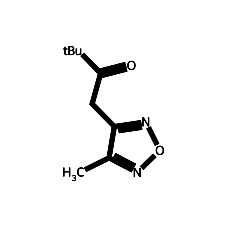 Cc1nonc1CC(=O)C(C)(C)C